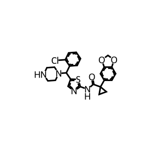 O=C(Nc1ncc(C(c2ccccc2Cl)N2CCNCC2)s1)C1(c2ccc3c(c2)OCO3)CC1